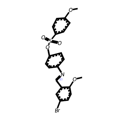 COc1ccc(S(=O)(=O)Oc2ccc(/N=C/c3cc(Br)ccc3OC)cc2)cc1